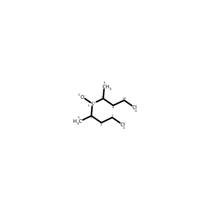 CC(CCCl)[S+]([O-])C(C)CCCl